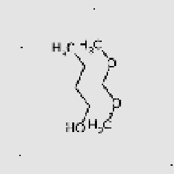 CCCCO.COCOC